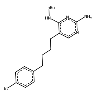 CCCCNc1nc(N)ncc1CCCCc1ccc(CC)cc1